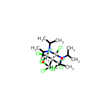 CC(C)N(C(C)C)[Si](Cl)(N(C(C)C)C(C)C)[Si]([Si](Cl)(Cl)Cl)([Si](Cl)(Cl)Cl)[Si](Cl)(Cl)Cl